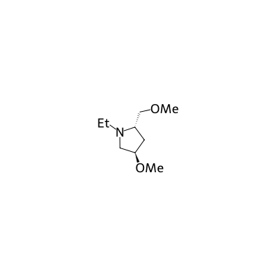 CCN1C[C@H](OC)C[C@H]1COC